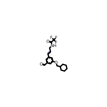 O=Cc1cc(/C=C/CNC(=O)C(F)(F)F)cc(OCC2CCCCC2)c1